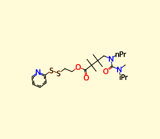 CCCN(CC(C)(C)C(C)(C)C(=O)OCCSSc1ccccn1)C(=O)N(C)C(C)C